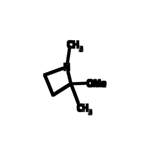 COC1(C)CCN1C